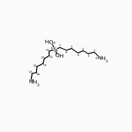 NCCCCCCC[Si](O)(O)CCCCCCCN